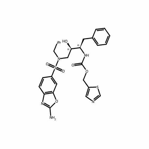 CC(C)CN(C[C@@H](O)[C@@H](Cc1ccccc1)NC(=O)OCc1cncs1)S(=O)(=O)c1ccc2nc(N)oc2c1